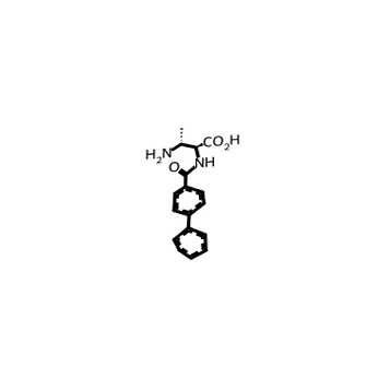 C[C@@H](N)[C@H](NC(=O)c1ccc(-c2ccccc2)cc1)C(=O)O